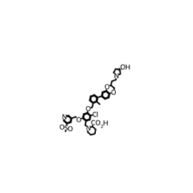 Cc1c(COc2cc(OCc3cncc(S(C)(=O)=O)c3)c(CN3CCCCC3C(=O)O)cc2Cl)cccc1-c1ccc2c(c1)OC(CCN1CC[C@@H](O)C1)CO2